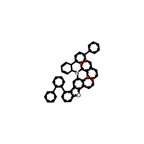 C1=CC(c2ccc(-c3ccccc3)cc2)C(N(c2cccc3ccccc23)c2cc3c(oc4cccc(-c5ccccc5-c5ccccc5)c43)c3ccccc23)C=C1